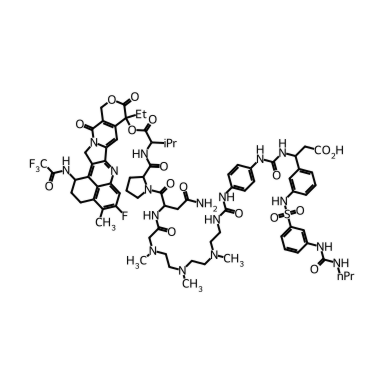 CCCNC(=O)Nc1cccc(S(=O)(=O)Nc2cccc(C(CC(=O)O)NC(=O)Nc3ccc(NC(=O)NCCN(C)CCN(C)CCN(C)CC(=O)NC(CC(N)=O)C(=O)N4CCCC4C(=O)NC(C(=O)OC4(CC)C(=O)OCc5c4cc4n(c5=O)Cc5c-4nc4cc(F)c(C)c6c4c5C(NC(=O)C(F)(F)F)CC6)C(C)C)cc3)c2)c1